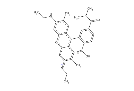 CC/N=c1/cc2oc3cc(NCC)c(C)cc3c(-c3cc(C(=O)C(C)C)ccc3C(=O)O)c-2cc1C